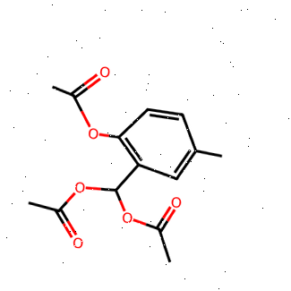 CC(=O)Oc1ccc(C)cc1C(OC(C)=O)OC(C)=O